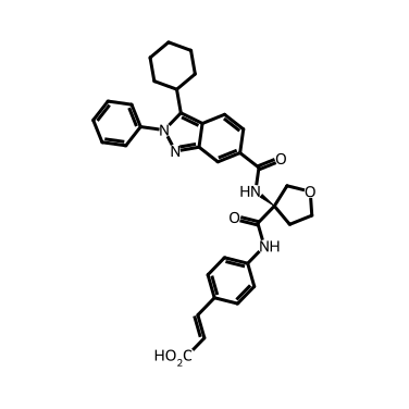 O=C(O)C=Cc1ccc(NC(=O)[C@@]2(NC(=O)c3ccc4c(C5CCCCC5)n(-c5ccccc5)nc4c3)CCOC2)cc1